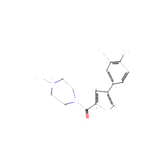 CCc1ccc(-c2csc(C(=O)N3CCN(C(C)C)CC3)c2)cc1F